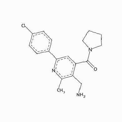 Cc1nc(-c2ccc(Cl)cc2)cc(C(=O)N2CCCC2)c1CN